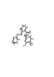 Cc1cc(NC(=O)c2cccnc2SCc2ccncc2)ccc1Cl